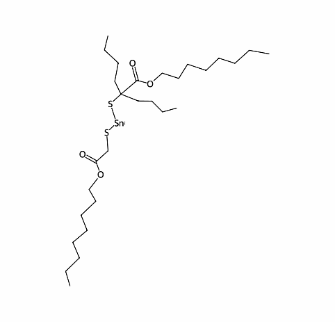 CCCCCCCCOC(=O)C[S][Sn][S]C(CCCC)(CCCC)C(=O)OCCCCCCCC